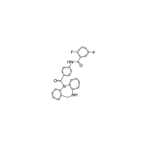 O=C(Nc1ccc(C(=O)N2c3ccccc3CNc3ccccc32)cc1)c1cc(F)ccc1F